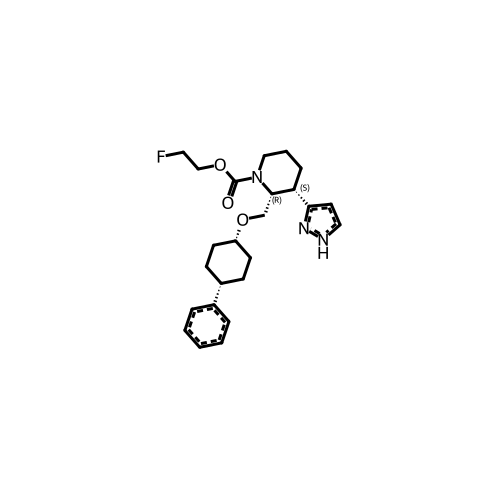 O=C(OCCF)N1CCC[C@H](c2cc[nH]n2)[C@@H]1CO[C@H]1CC[C@@H](c2ccccc2)CC1